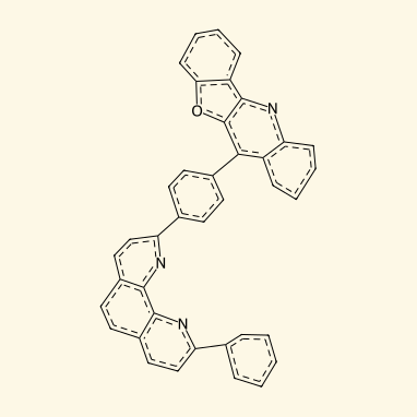 c1ccc(-c2ccc3ccc4ccc(-c5ccc(-c6c7ccccc7nc7c6oc6ccccc67)cc5)nc4c3n2)cc1